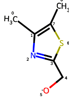 Cc1nc(C[O])sc1C